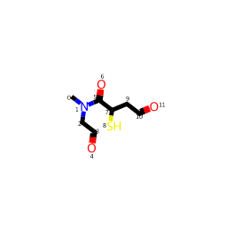 CN(CC=O)C(=O)C(S)CC=O